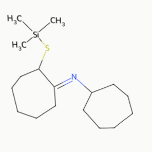 C[Si](C)(C)SC1CCCCCC1=NC1CCCCCC1